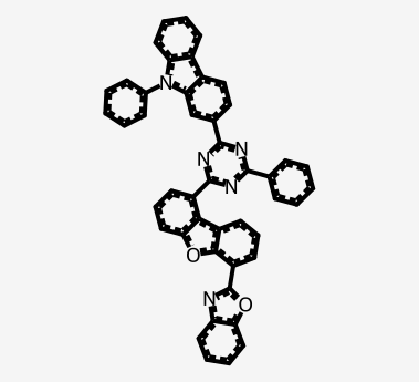 c1ccc(-c2nc(-c3ccc4c5ccccc5n(-c5ccccc5)c4c3)nc(-c3cccc4oc5c(-c6nc7ccccc7o6)cccc5c34)n2)cc1